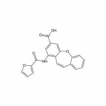 O=C(Nc1cc([N+](=O)O)cc2c1C=Cc1ccccc1O2)c1ccco1